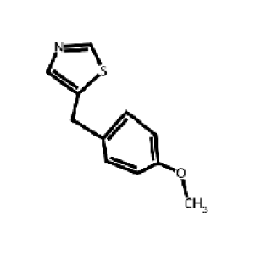 COc1ccc(Cc2cncs2)cc1